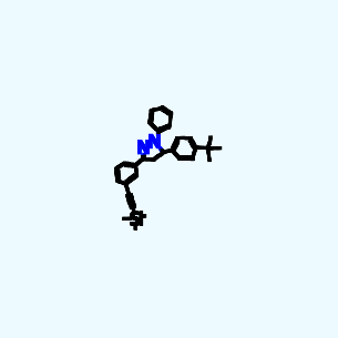 CC(C)(C)c1ccc(C2CC(c3cccc(C#C[Si](C)(C)C)c3)=NN2c2ccccc2)cc1